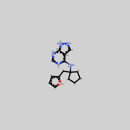 c1coc(CC2(Nc3ncnc4[nH]ncc34)CCCC2)c1